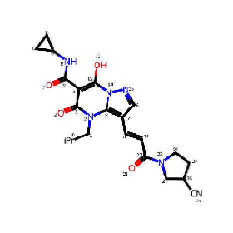 CC(C)Cn1c(=O)c(C(=O)NC2CC2)c(O)n2ncc(C=CC(=O)N3CCC(C#N)C3)c12